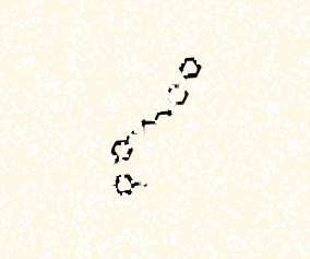 COc1cccc(Oc2ccc(CNC(=O)[C@H](O)[C@@H](O)C(=O)N3CCN(c4ccccc4)CC3)cc2)c1